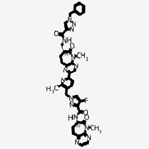 Cc1nc(-c2cnc3c(n2)CC[C@H](CNC(=O)c2cn(Cc4ccccc4)nn2)C(=O)N3C)ccc1Cn1cc(F)c(C(=O)N[C@H]2CCc3nccnc3N(C)C2=O)n1